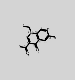 CCn1cc(C(C)=O)c(=O)c2cc(C)ccc21